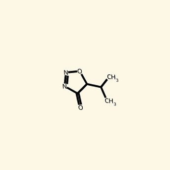 CC(C)C1ON=NC1=O